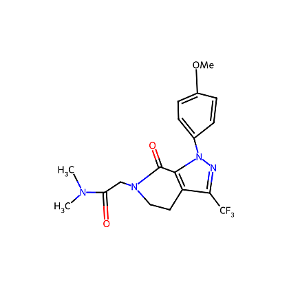 COc1ccc(-n2nc(C(F)(F)F)c3c2C(=O)N(CC(=O)N(C)C)CC3)cc1